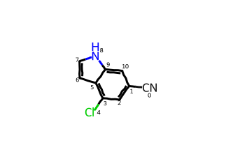 N#Cc1cc(Cl)c2cc[nH]c2c1